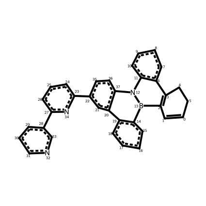 C1=CC2=C(CC1)c1ccccc1N1B2c2ccccc2-c2cc(-c3cccc(-c4cccnc4)n3)ccc21